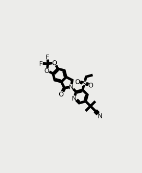 CCS(=O)(=O)c1cc(C(C)(C)C#N)cnc1N1Cc2cc3c(cc2C1=O)OC(F)(F)O3